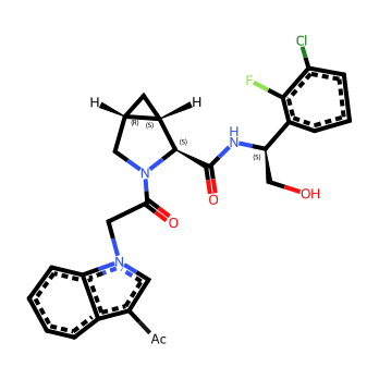 CC(=O)c1cn(CC(=O)N2C[C@@H]3C[C@@H]3[C@H]2C(=O)N[C@H](CO)c2cccc(Cl)c2F)c2ccccc12